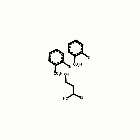 CCC(O)CCO.O=C(O)c1ccccc1Br.O=C(O)c1ccccc1Br